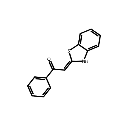 O=C(C=C1Nc2ccccc2S1)c1ccccc1